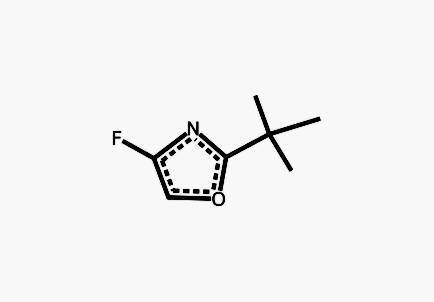 CC(C)(C)c1nc(F)co1